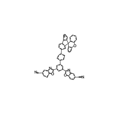 N#Cc1ccc2oc(-c3cc(-c4ccc(-c5ccc6c(c5)C5(c7ccccc7Oc7ccccc75)c5ccccc5-6)cc4)cc(-c4nc5cc(C#N)ccc5o4)c3)nc2c1